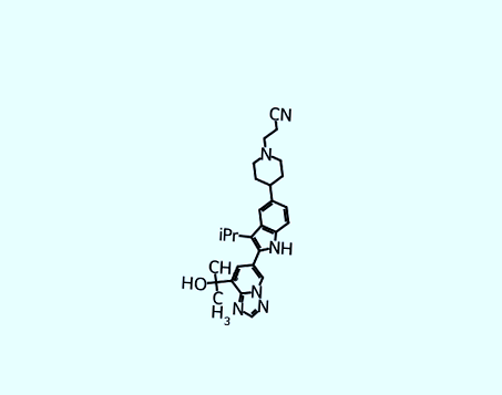 CC(C)c1c(-c2cc(C(C)(C)O)c3ncnn3c2)[nH]c2ccc(C3CCN(CCC#N)CC3)cc12